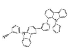 N#Cc1cccc(-n2c3ccccc3c3cc(-c4cccc(-c5cccc6c7ccccc7n(-c7ccccc7)c56)c4)ccc32)c1